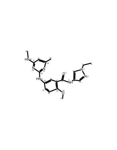 CCn1cc(NC(=O)c2cc(Nc3nc(C)cc(NC)n3)ccc2OC)cn1